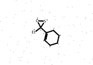 CCC1(C2=CCCCC2)OS1